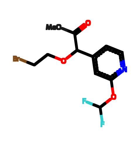 COC(=O)C(OCCBr)c1ccnc(OC(F)F)c1